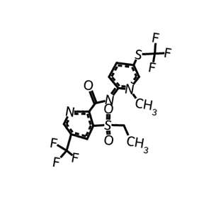 CCS(=O)(=O)c1cc(C(F)(F)F)cnc1C(=O)/N=c1\ccc(SC(F)(F)F)cn1C